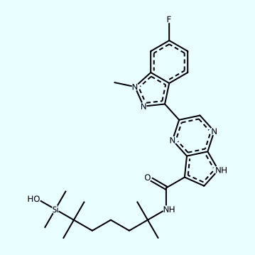 Cn1nc(-c2cnc3[nH]cc(C(=O)NC(C)(C)CCCC(C)(C)[Si](C)(C)O)c3n2)c2ccc(F)cc21